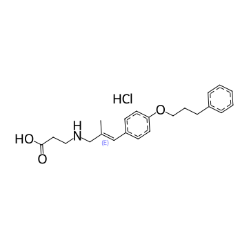 C/C(=C\c1ccc(OCCCc2ccccc2)cc1)CNCCC(=O)O.Cl